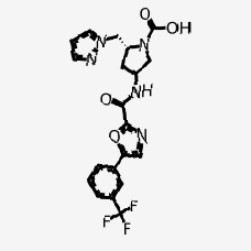 O=C(NC1C[C@H](Cn2cccn2)N(C(=O)O)C1)c1ncc(-c2cccc(C(F)(F)F)c2)o1